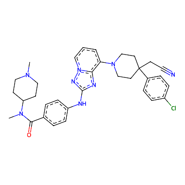 CN1CCC(N(C)C(=O)c2ccc(Nc3nc4c(N5CCC(CC#N)(c6ccc(Cl)cc6)CC5)cccn4n3)cc2)CC1